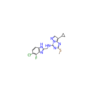 CSc1nc(NCc2nc3c(F)c(Cl)ccc3[nH]2)n2ncc(C3CC3)c2n1